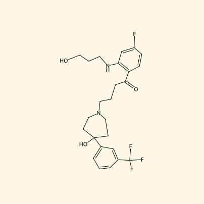 O=C(CCCN1CCC(O)(c2cccc(C(F)(F)F)c2)CC1)c1ccc(F)cc1NCCCO